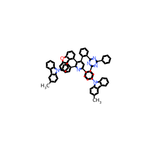 Cc1ccc2c(c1)c1ccccc1n2-c1ccc(-c2cc(-c3ccccc3-c3nc(-c4ccccc4)nc(-c4ccccc4)n3)c(-c3cccc4oc5ccccc5c34)c(-c3ccc(-n4c5ccccc5c5cc(C)ccc54)cc3)n2)cc1